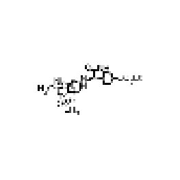 CCOC(=O)c1ccc2c(c1)NC(=O)C2=CNc1ccc(N(CC(C)(C)N)S(C)(=O)=O)cc1